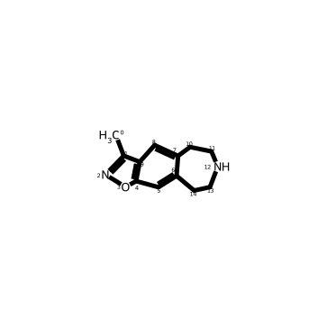 Cc1noc2cc3c(cc12)CCNCC3